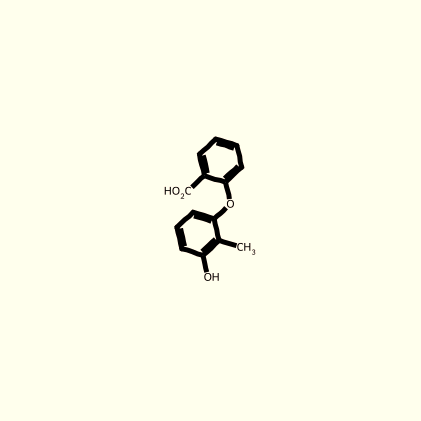 Cc1c(O)cccc1Oc1ccccc1C(=O)O